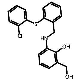 OCc1cccc(NCc2ccccc2Sc2ccccc2Cl)c1O